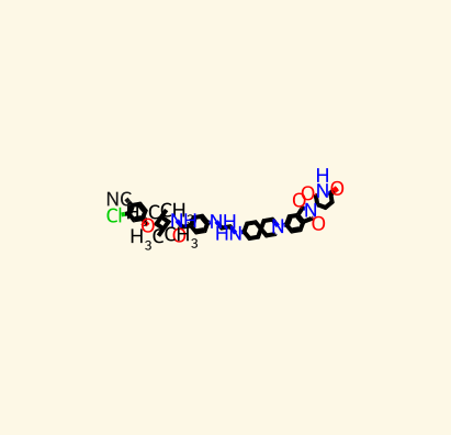 CC1(C)[C@H](NC(=O)c2ccc(NCCNC3CCC4(CC3)CCN(c3ccc5c(c3)C(=O)N(C3CCC(=O)NC3=O)C5=O)CC4)cc2)C(C)(C)[C@H]1Oc1ccc(C#N)c(Cl)c1